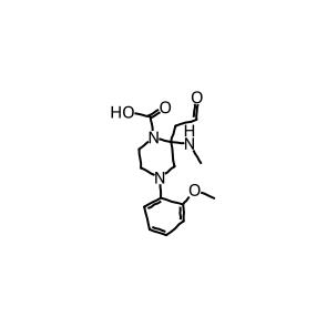 CNC1(CC=O)CN(c2ccccc2OC)CCN1C(=O)O